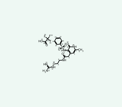 Cc1cc(CC(=O)NCCONC(=N)N)c(NS(=O)(=O)c2ccccc2)c(=O)[nH]1.O=C(O)C(F)(F)F